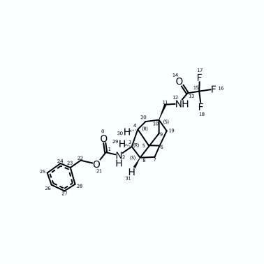 O=C(N[C@H]1[C@@H]2CC3C[C@H]1C[C@@](CNC(=O)C(F)(F)F)(C3)C2)OCc1ccccc1